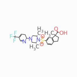 C[C@@H]1CN(C2CC=C(C(F)(F)F)C=N2)C[C@H](C)N1S(=O)(=O)c1ccc2c(c1)C(C)(C(=O)O)CC2